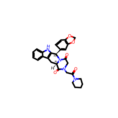 O=C(CN1CC(=O)N2[C@H](c3ccc4c(c3)OCO4)c3[nH]c4ccccc4c3C[C@@H]2C1=O)N1CCCCC1